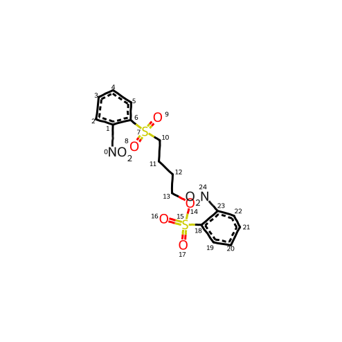 O=[N+]([O-])c1ccccc1S(=O)(=O)CCCCOS(=O)(=O)c1ccccc1[N+](=O)[O-]